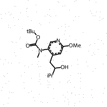 COc1cc(CC(O)C(C)C)c(N(C)C(=O)OC(C)(C)C)cn1